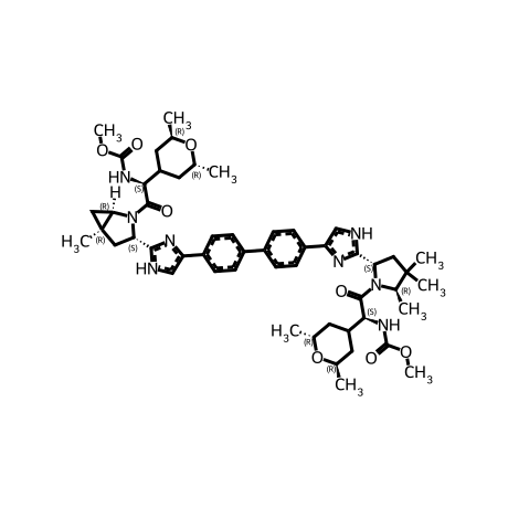 COC(=O)N[C@H](C(=O)N1[C@H](c2nc(-c3ccc(-c4ccc(-c5c[nH]c([C@@H]6C[C@@]7(C)C[C@H]7N6C(=O)[C@@H](NC(=O)OC)C6C[C@@H](C)O[C@H](C)C6)n5)cc4)cc3)c[nH]2)CC(C)(C)[C@H]1C)C1C[C@@H](C)O[C@H](C)C1